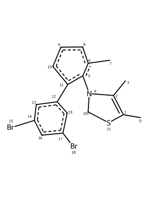 CC1=C(C)N(c2c(C)cccc2-c2cc(Br)cc(Br)c2)[C]S1